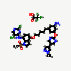 Cn1cc(-c2cnc(Oc3cc(N)cc(CCCCCOc4ccc(Nc5nc(Cl)ncc5Br)c5c4ccn5S(C)(=O)=O)c3)nc2)cn1.O=C(O)C(F)(F)F